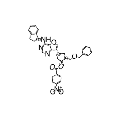 O=C(O[C@H]1C[C@H](c2coc3c(N[C@H]4CCc5ccccc54)ncnc23)C[C@H]1COCc1ccccc1)c1ccc([N+](=O)[O-])cc1